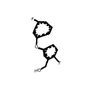 OCc1cc(Oc2cccc(F)c2)ccc1F